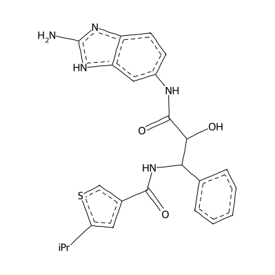 CC(C)c1cc(C(=O)NC(c2ccccc2)C(O)C(=O)Nc2ccc3nc(N)[nH]c3c2)cs1